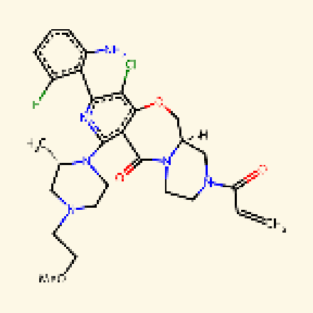 C=CC(=O)N1CCN2C(=O)c3c(N4CCN(CCOC)C[C@@H]4C)nc(-c4c(N)cccc4F)c(Cl)c3OC[C@H]2C1